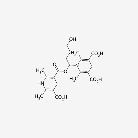 CC1=C(C(=O)O)CC(C(=O)OC(CCCO)N2C(C)=C(C(=O)O)CC(C(=O)O)=C2C)=C(C)N1